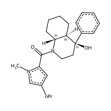 CCCc1cc(C(=O)N2CC[C@@](O)(c3ccccc3)[C@@H]3CCCC[C@H]32)n(C)c1